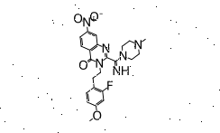 COc1ccc(CCn2c(C(=N)N3CCN(C)CC3)nc3cc([N+](=O)[O-])ccc3c2=O)c(F)c1